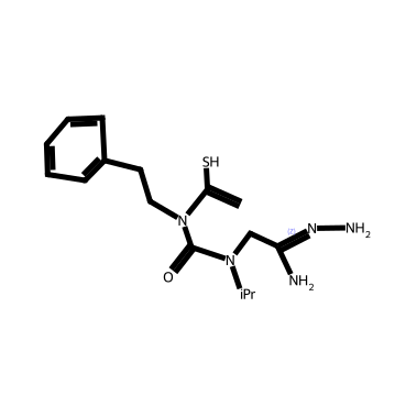 C=C(S)N(CCc1ccccc1)C(=O)N(C/C(N)=N/N)C(C)C